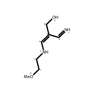 COCCN/C=C(\C=N)CO